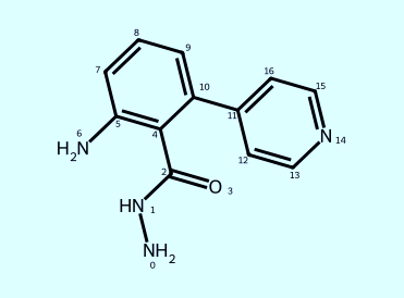 NNC(=O)c1c(N)cccc1-c1ccncc1